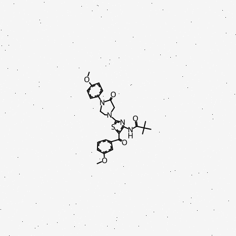 COc1ccc(N2CCN(c3nc(NC(=O)C(C)(C)C)c(C(=O)c4cccc(OC)c4)s3)CC2=O)cc1